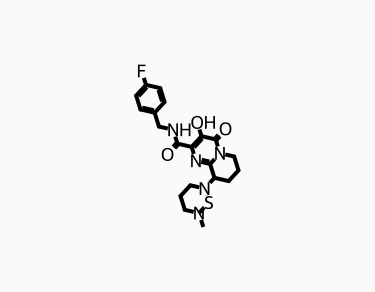 CN1CCCN(C2CCCn3c2nc(C(=O)NCc2ccc(F)cc2)c(O)c3=O)S1